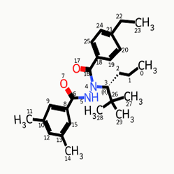 CCC[C@@H](N(NC(=O)c1cc(C)cc(C)c1)C(=O)c1ccc(CC)cc1)C(C)(C)C